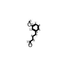 COc1cccc(CCCC=O)c1